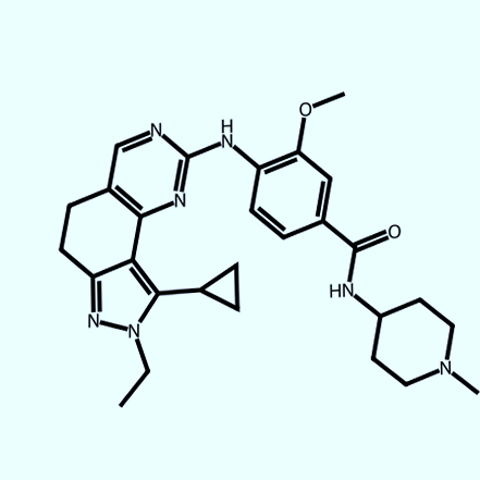 CCn1nc2c(c1C1CC1)-c1nc(Nc3ccc(C(=O)NC4CCN(C)CC4)cc3OC)ncc1CC2